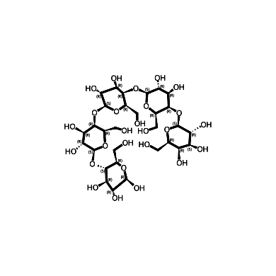 OC[C@H]1O[C@@H](O[C@@H]2[C@H](O)[C@@H](O)[C@H](O[C@@H]3[C@H](O)[C@@H](O)[C@H](O[C@@H]4[C@H](O)[C@@H](O)[C@H](O[C@H]5[C@H](O)[C@@H](O)[C@H](O)O[C@@H]5CO)O[C@@H]4CO)O[C@@H]3CO)O[C@@H]2CO)[C@H](O)[C@@H](O)[C@H]1O